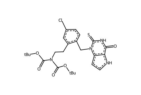 CC(C)(C)OC(=O)N(CCc1cc(Cl)ccc1Cn1c(=S)[nH]c(=O)c2[nH]ccc21)C(=O)OC(C)(C)C